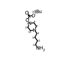 CC(C)(C)OC(=O)ON1CCN(CCCCN)CC1